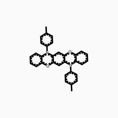 Cc1ccc(-n2c3ccccc3oc3cc4c(cc32)oc2ccccc2n4-c2ccc(C)cc2)cc1